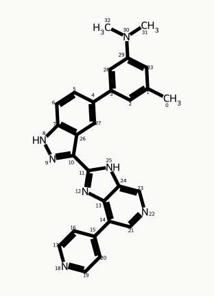 Cc1cc(-c2ccc3[nH]nc(-c4nc5c(-c6ccncc6)cncc5[nH]4)c3c2)cc(N(C)C)c1